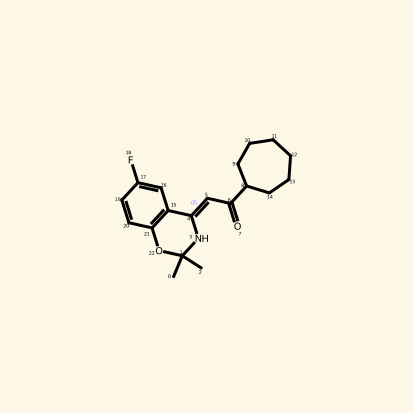 CC1(C)N/C(=C\C(=O)C2CCCCCC2)c2cc(F)ccc2O1